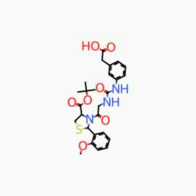 COc1ccccc1C1SCC(C(=O)OC(C)(C)C)N1C(=O)CNC(=O)Nc1cccc(CC(=O)O)c1